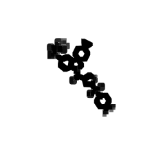 CS(=O)(=O)Nc1ccc2c(c1)C1(CCC3(CC3)CC1)CN2C(=O)c1csc(S(=O)(=O)N2CCC(F)(F)CC2)c1